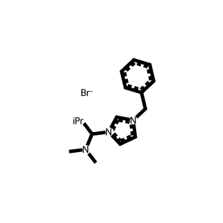 CC(C)C(N(C)C)[n+]1ccn(Cc2ccccc2)c1.[Br-]